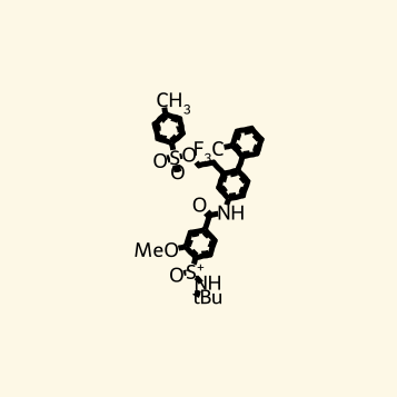 COc1cc(C(=O)Nc2ccc(-c3ccccc3C(F)(F)F)c(CCOS(=O)(=O)c3ccc(C)cc3)c2)ccc1[S+]([O-])NC(C)(C)C